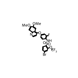 COc1cc2nccc(Oc3ccc(NS(=O)(=O)c4ccc(Br)cc4OC(F)(F)F)c(F)c3)c2cc1OC